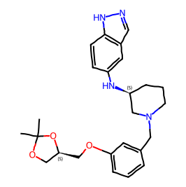 CC1(C)OC[C@H](COc2cccc(CN3CCC[C@H](Nc4ccc5[nH]ncc5c4)C3)c2)O1